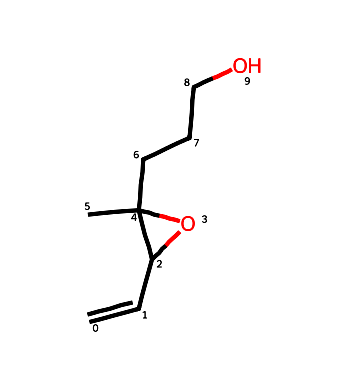 C=CC1OC1(C)CCCO